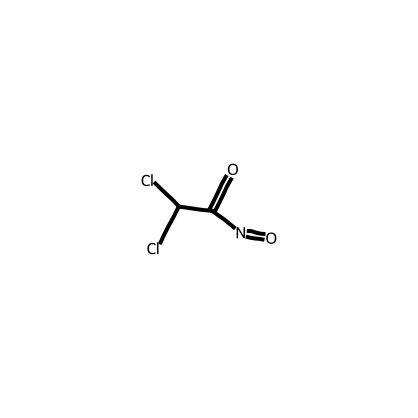 O=NC(=O)C(Cl)Cl